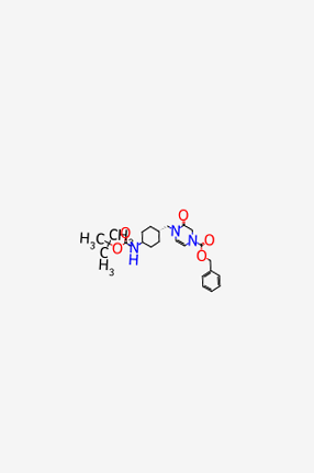 CC(C)(C)OC(=O)N[C@H]1CC[C@H](CN2C=CN(C(=O)OCc3ccccc3)CC2=O)CC1